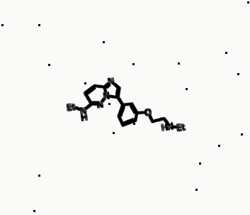 CCNCCOc1cccc(-c2cnc3ccc(NCC)nn23)c1